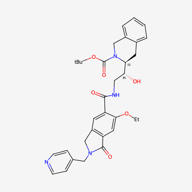 CCOc1cc2c(cc1C(=O)NC[C@@H](O)[C@@H]1Cc3ccccc3CN1C(=O)OC(C)(C)C)CN(Cc1ccncc1)C2=O